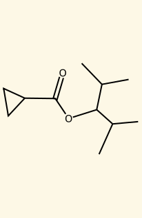 CC(C)C(OC(=O)C1CC1)C(C)C